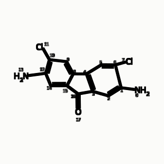 Nc1cc2c(cc1Cl)-c1cc(Cl)c(N)cc1C2=O